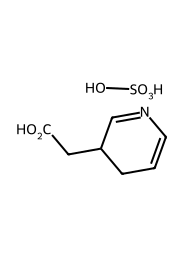 O=C(O)CC1C=NC=CC1.O=S(=O)(O)O